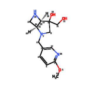 COc1ccc(CN2CC(O)(CO)[C@@H]3NC[C@@H]32)cn1